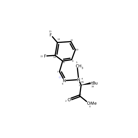 COC(=O)[C@@H](N(C)/N=C\c1cccc(F)c1F)C(C)(C)C